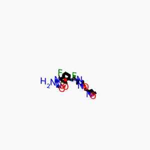 Cc1cc(COc2cnc(/C(F)=C/c3ccc(F)c([C@@]4(C)N=C(N)N(C)S(=O)(=O)C45CC5)c3)cn2)no1